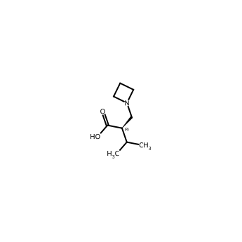 CC(C)[C@H](CN1CCC1)C(=O)O